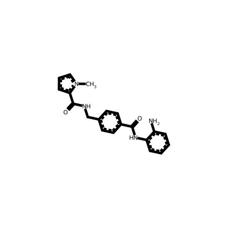 Cn1cccc1C(=O)NCc1ccc(C(=O)Nc2ccccc2N)cc1